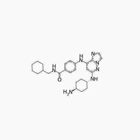 N[C@H]1CC[C@H](Nc2cc(Nc3ccc(C(=O)NCC4CCCCC4)cc3)c3nccn3n2)CC1